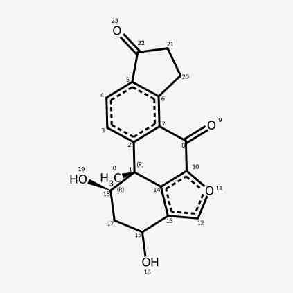 C[C@@]12c3ccc4c(c3C(=O)c3occ(c31)C(O)C[C@H]2O)CCC4=O